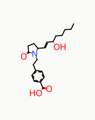 CCCCC[C@H](O)/C=C/C1CCC(=O)N1CCc1ccc(C(=O)O)cc1